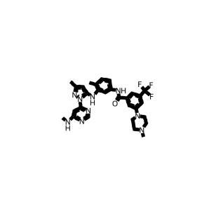 CNc1cc(-n2nc(C)cc2Nc2cc(NC(=O)c3cc(N4CCN(C)CC4)cc(C(F)(F)F)c3)ccc2C)ncn1